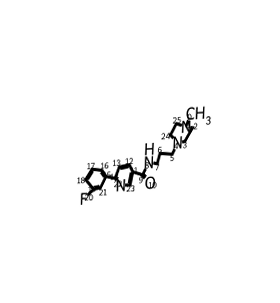 CN1CCN(CCCNC(=O)c2ccc(-c3cccc(F)c3)nc2)CC1